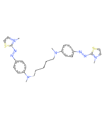 CN(CCCCCN(C)c1ccc(N=Nc2scc[n+]2C)cc1)c1ccc(N=Nc2scc[n+]2C)cc1